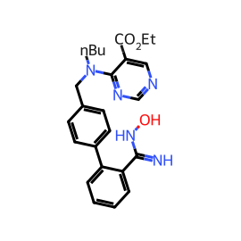 CCCCN(Cc1ccc(-c2ccccc2C(=N)NO)cc1)c1ncncc1C(=O)OCC